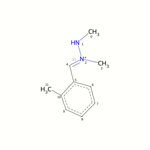 CN/[N+](C)=C/c1ccccc1C